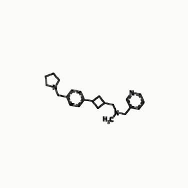 CN(Cc1cccnc1)CC1CC(c2ccc(CN3CCCC3)cc2)C1